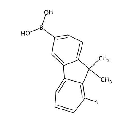 CC1(C)c2ccc(B(O)O)cc2-c2cccc(I)c21